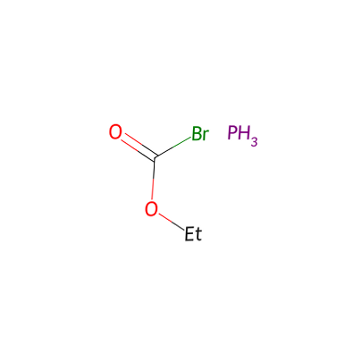 CCOC(=O)Br.P